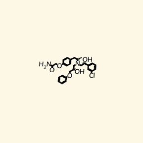 C[C@H](Cc1ccc(OCC(N)=O)cc1)N(C[C@H](O)COc1ccccc1)C[C@H](O)c1cccc(Cl)c1